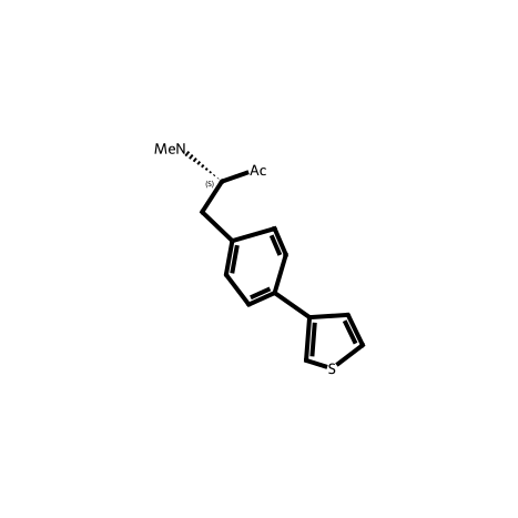 CN[C@@H](Cc1ccc(-c2ccsc2)cc1)C(C)=O